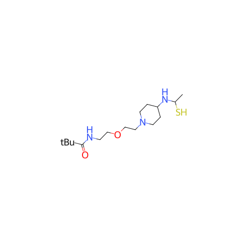 CC(S)NC1CCN(CCOCCNC(=O)C(C)(C)C)CC1